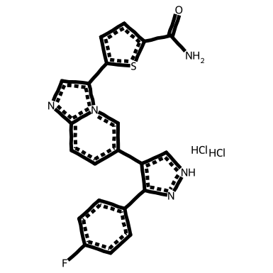 Cl.Cl.NC(=O)c1ccc(-c2cnc3ccc(-c4c[nH]nc4-c4ccc(F)cc4)cn23)s1